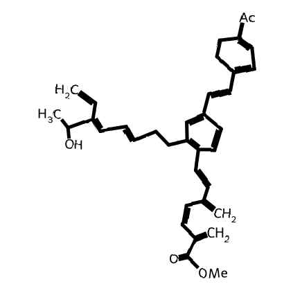 C=C/C(=C\C=C\CCc1cc(/C=C/C2=CC=C(C(C)=O)CC2)ccc1/C=C/C(=C)/C=C\C(=C)C(=O)OC)C(C)O